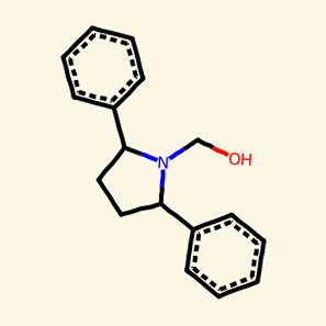 OCN1C(c2ccccc2)CCC1c1ccccc1